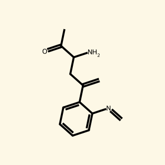 C=Nc1ccccc1C(=C)CC(N)C(C)=O